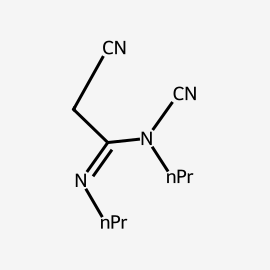 CCCN=C(CC#N)N(C#N)CCC